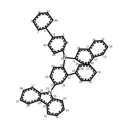 c1ccc(-c2ccc(N(c3ccc4ccccc4c3)c3ccc(-n4c5ccccc5c5ccccc54)cc3-c3ccccc3)cc2)cc1